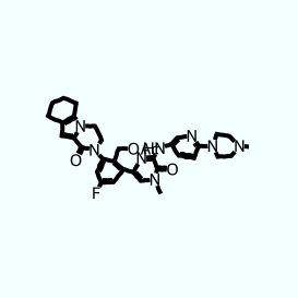 CC(=O)OCc1c(-c2cn(C)c(=O)c(Nc3ccc(N4CCN(C)CC4)nc3)n2)cc(F)cc1N1CCn2c(cc3c2CCCC3)C1=O